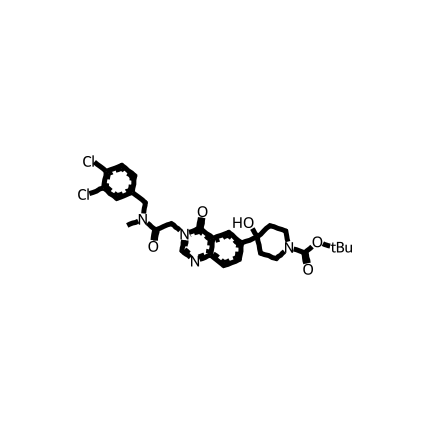 CN(Cc1ccc(Cl)c(Cl)c1)C(=O)Cn1cnc2ccc(C3(O)CCN(C(=O)OC(C)(C)C)CC3)cc2c1=O